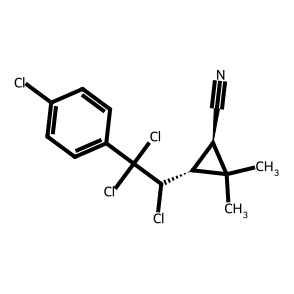 CC1(C)[C@H](C#N)[C@H]1C(Cl)C(Cl)(Cl)c1ccc(Cl)cc1